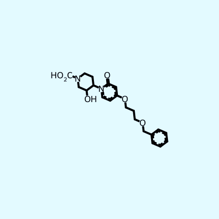 O=C(O)N1CCC(n2ccc(OCCCOCc3ccccc3)cc2=O)C(O)C1